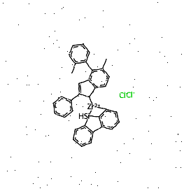 Cc1ccccc1-c1c(C)ccc2c1C=C(c1ccccc1)[CH]2[Zr+2]1[c]2cccc3c2[SiH]1c1ccccc1-3.[Cl-].[Cl-]